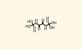 O=C(NC(O)(O)O)C(=O)NC(O)(O)O